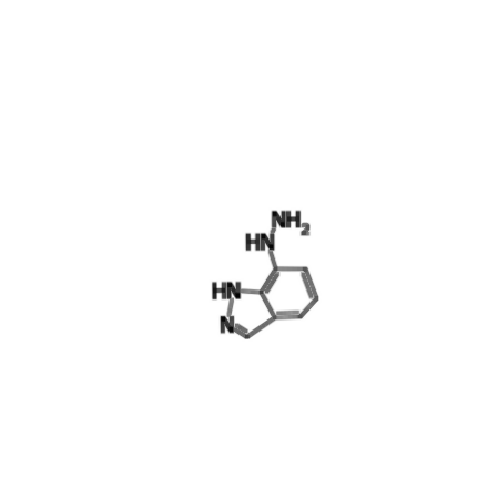 NNc1cccc2cn[nH]c12